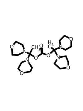 CC(OC(=O)OC(C)(N1CCOCC1)N1CCOCC1)(N1CCOCC1)N1CCOCC1